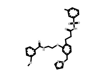 COc1cccc(C(=O)NCCOc2cc(Cn3cccn3)ccc2CCC(=O)NS(=O)(=O)c2cccc(C)c2)c1